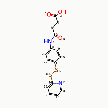 O=C(O)CCC(=O)Nc1ccc(SSc2ccccn2)cc1